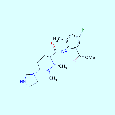 COC(=O)c1cc(F)cc(C)c1NC(=O)C1CCC(N2CCNC2)N(C)N1C